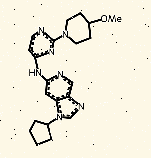 COC1CCN(c2nccc(Nc3cc4c(cn3)ncn4C3CCCC3)n2)CC1